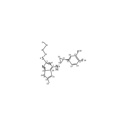 CCCCSc1nc(N[C@@H]2C[C@H]2c2ccc(F)c(F)c2)c2cc(C)sc2n1